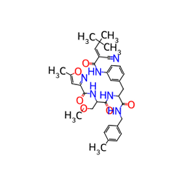 COCC(NC(=O)c1cc(C)on1)C(=O)NC(Cc1cccc(NC(=O)C(C#N)=CC(C)(C)C)c1)C(=O)NCc1ccc(C)cc1